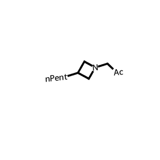 CCCCCC1CN(CC(C)=O)C1